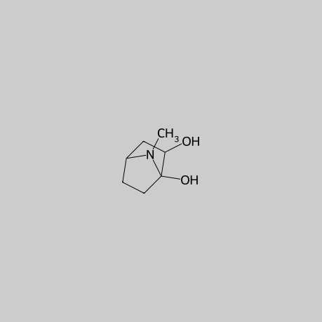 CN1C2CCC1(O)C(O)C2